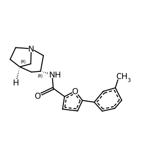 Cc1cccc(-c2ccc(C(=O)N[C@@H]3C[C@H]4CCN(C4)C3)o2)c1